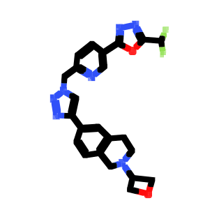 FC(F)c1nnc(-c2ccc(Cn3cc(-c4ccc5c(c4)CCN(C4COC4)C5)nn3)nc2)o1